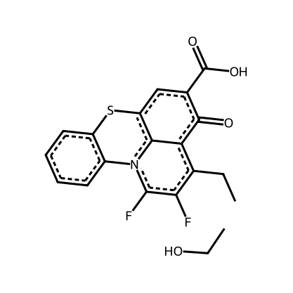 CCO.CCc1c(F)c(F)n2c3c(cc(C(=O)O)c(=O)c1-3)Sc1ccccc1-2